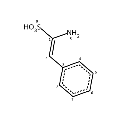 NC(=Cc1ccccc1)S(=O)(=O)O